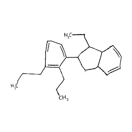 CCCc1cccc(C2[C]C3C=CC=CC3C2CC)c1CCC